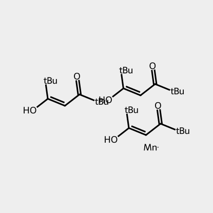 CC(C)(C)C(=O)/C=C(/O)C(C)(C)C.CC(C)(C)C(=O)/C=C(/O)C(C)(C)C.CC(C)(C)C(=O)/C=C(/O)C(C)(C)C.[Mn]